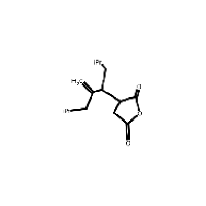 C=C(CC(C)C)C(CC(C)C)C1CC(=O)OC1=O